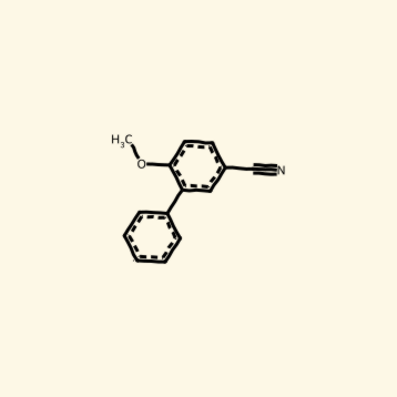 COc1ccc(C#N)cc1-c1cc[c]cc1